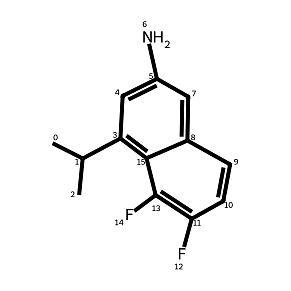 CC(C)c1cc(N)cc2ccc(F)c(F)c12